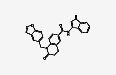 O=C(Nc1c[nH]c2ccccc12)c1ccc2c(c1)SCC(=O)N2Cc1ccc2occc2c1